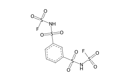 O=S(=O)(F)NS(=O)(=O)c1cccc(S(=O)(=O)NS(=O)(=O)F)c1